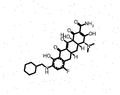 CN(C)[C@@H]1C(O)=C(C(N)=O)C(=O)[C@@]2(O)C(O)=C3C(=O)c4c(O)c(NCC5CCCCC5)cc(F)c4C[C@H]3C[C@@H]12